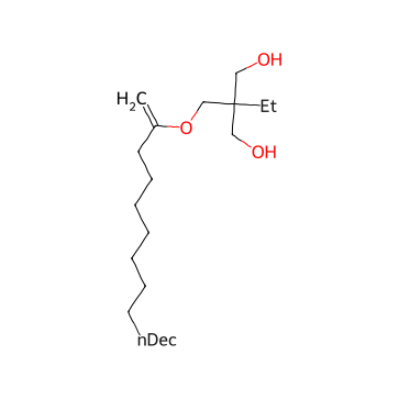 C=C(CCCCCCCCCCCCCCCCC)OCC(CC)(CO)CO